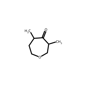 CC1CCOCC(C)C1=O